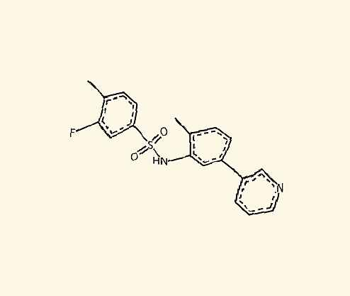 Cc1ccc(S(=O)(=O)Nc2cc(-c3cccnc3)ccc2C)cc1F